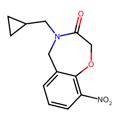 O=C1COc2c(cccc2[N+](=O)[O-])CN1CC1CC1